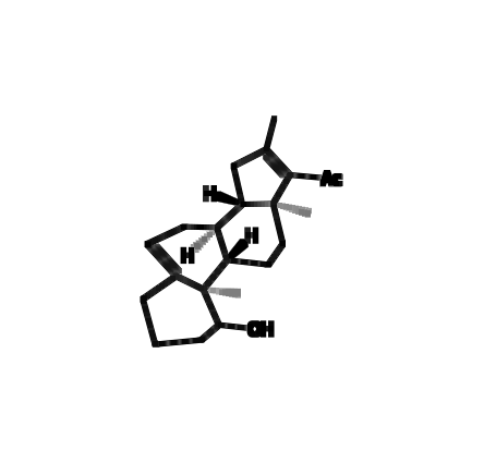 CC(=O)C1=C(C)C[C@H]2[C@@H]3CC=C4CCCC(O)[C@]4(C)[C@H]3CC[C@]12C